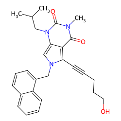 CC(C)Cn1c(=O)n(C)c(=O)c2c(C#CCCCO)n(Cc3cccc4ccccc34)cc21